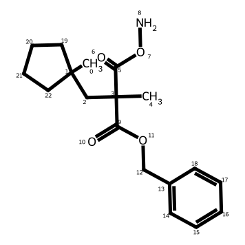 CC1(CC(C)(C(=O)ON)C(=O)OCc2ccccc2)CCCC1